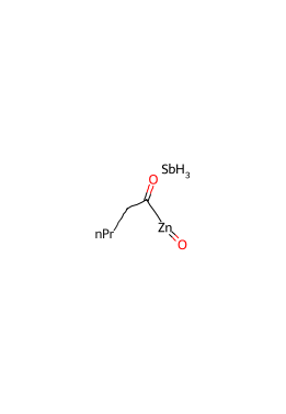 CCCC[C](=O)[Zn]=[O].[SbH3]